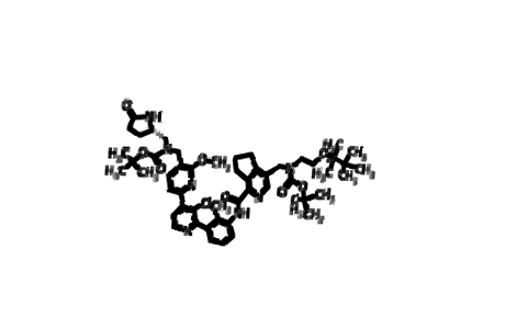 COc1nc(-c2ccnc(-c3cccc(NC(=O)c4ncc(CN(CCO[Si](C)(C)C(C)(C)C)C(=O)OC(C)(C)C)c5c4CCC5)c3C)c2Cl)ccc1CN(C[C@@H]1CCC(=O)N1)C(=O)OC(C)(C)C